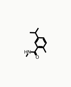 CNC(=O)c1cc(C(C)C)ccc1C